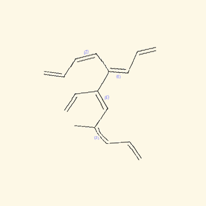 C=C\C=C/C(=C\C=C)C(/C=C)=C/C(C)=C\C=C